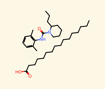 CCCC1CCCCN1C(=O)Nc1c(C)cccc1C.CCCCCCCCCCCCCCCC(=O)O